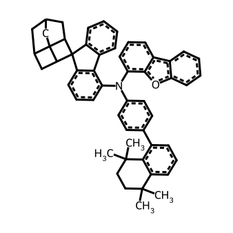 CC1(C)CCC(C)(C)c2c(-c3ccc(N(c4cccc5c4-c4ccccc4C54C5CC6CC7CC4C75C6)c4cccc5c4oc4ccccc45)cc3)cccc21